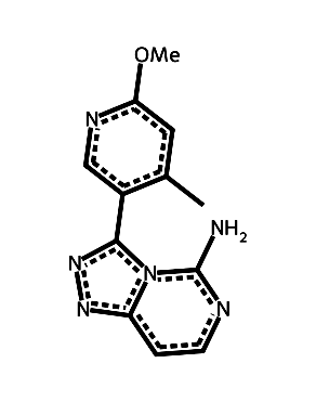 COc1cc(C)c(-c2nnc3ccnc(N)n23)cn1